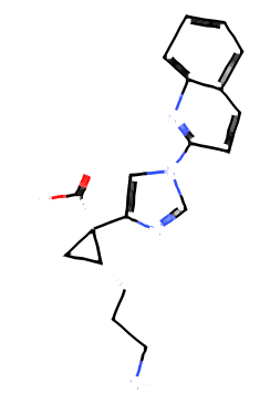 NCCC[C@@H]1C[C@@]1(C(=O)O)c1cn(-c2ccc3ccccc3n2)cn1